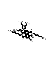 CCCCCCN1C(=O)c2c[c]([Sn]([CH2]CCC)([CH2]CCC)[CH2]CCC)c3c4c(cc(C#N)c(c24)C1=O)C(=O)N(CCCCCC)C3=O